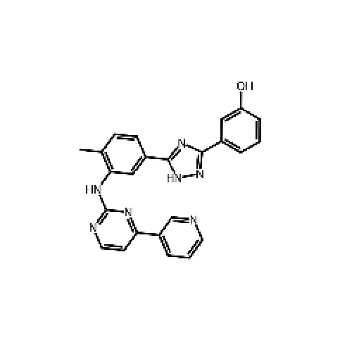 Cc1ccc(-c2nc(-c3cccc(O)c3)n[nH]2)cc1Nc1nccc(-c2cccnc2)n1